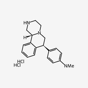 CNc1ccc([C@@H]2CN3CCNC[C@H]3c3ccccc32)cc1.Cl.Cl